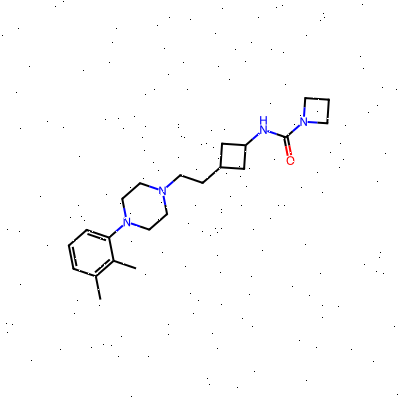 Cc1cccc(N2CCN(CCC3CC(NC(=O)N4CCC4)C3)CC2)c1C